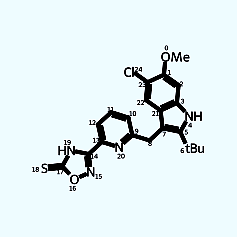 COc1cc2[nH]c(C(C)(C)C)c(Cc3cccc(-c4noc(=S)[nH]4)n3)c2cc1Cl